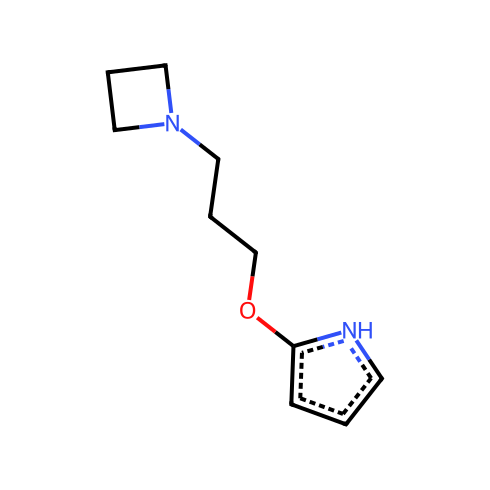 c1c[nH]c(OCCCN2CCC2)c1